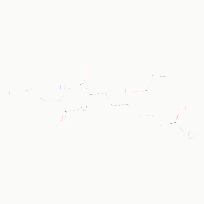 CCCCCCCCCCC(O)CN(CCCCC1NC(=O)C(CCC(=O)O)NC1=O)CC(O)CCCCCCCCCC